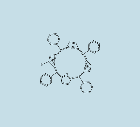 Brc1cc2[nH]c1c(-c1ccccc1)c1nc(c(-c3ccccc3)c3ccc([nH]3)c(-c3ccccc3)c3nc(c2-c2ccccc2)C=C3)C=C1